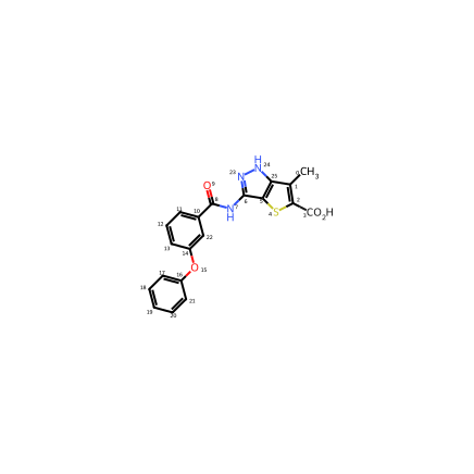 Cc1c(C(=O)O)sc2c(NC(=O)c3cccc(Oc4ccccc4)c3)n[nH]c12